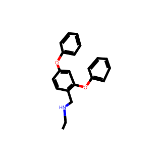 CCNCc1ccc(Oc2ccccc2)cc1Oc1ccccc1